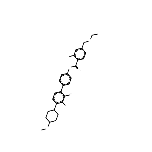 CCOCc1ccc(C(=O)Oc2ccc(-c3ccc(C4CCC(OC)CC4)c(F)c3F)cc2)c(F)c1